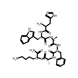 C[C@H](NC(=O)[C@@H](Cc1c[nH]c2ccccc12)NC(=O)C(N)Cc1cnc[nH]1)C(=O)NN(Cc1ccccc1)C(=O)N[C@H](C)C(=O)N[C@@H](CCCCN)C(N)=O